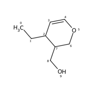 CCC1C=COCC1CO